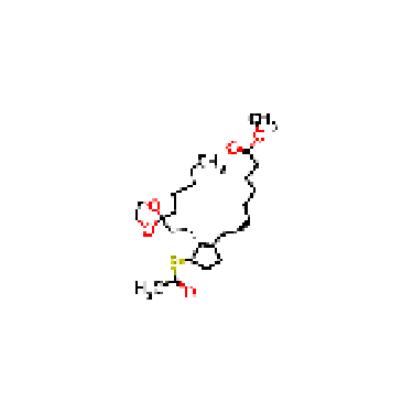 CCCCCC1(CC[C@@H]2C(C/C=C\CCCCC(=O)OC)CC[C@H]2SC(C)=O)OCCO1